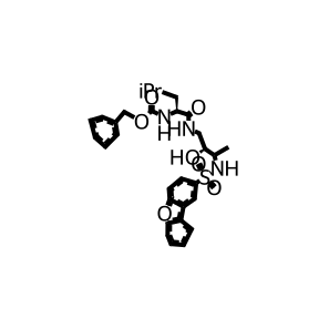 CC(C)C[C@H](NC(=O)OCc1ccccc1)C(=O)NC[C@H](O)C(C)NS(=O)(=O)c1ccc2oc3ccccc3c2c1